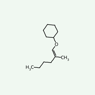 CCCC/C(C)=C/OC1CCCCC1